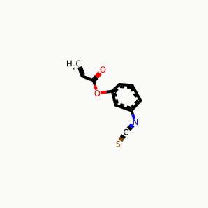 C=CC(=O)Oc1cccc(N=C=S)c1